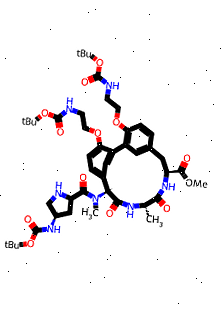 COC(=O)[C@@H]1Cc2ccc(OCCNC(=O)OC(C)(C)C)c(c2)-c2cc(ccc2OCCNC(=O)OC(C)(C)C)[C@H](N(C)C(=O)C2C[C@@H](NC(=O)OC(C)(C)C)CN2)C(=O)N[C@@H](C)C(=O)N1